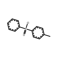 Cc1ccc(P(=O)(Cl)c2ccccc2)cc1